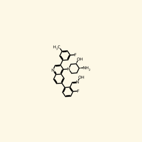 Cc1cc(F)cc(-c2cnc3ccc(-c4cccc(F)c4C=NO)cc3c2N2CC[C@H](N)[C@H](O)C2)c1